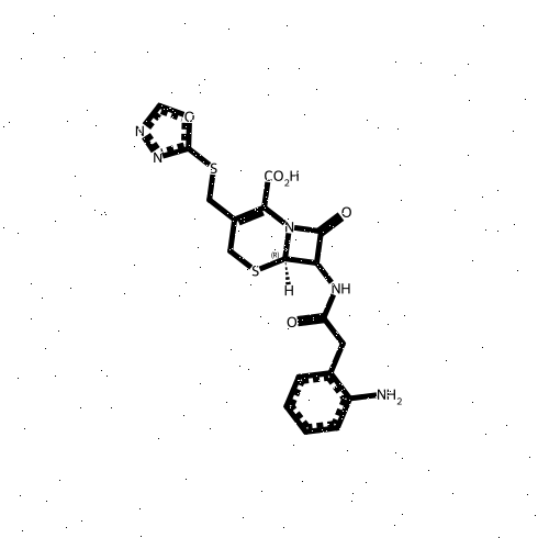 Nc1ccccc1CC(=O)NC1C(=O)N2C(C(=O)O)=C(CSc3nnco3)CS[C@H]12